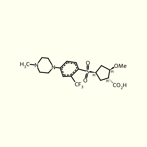 CO[C@@H]1C[C@H](S(=O)(=O)c2ccc(N3CCN(C)CC3)cc2C(F)(F)F)C[C@H]1C(=O)O